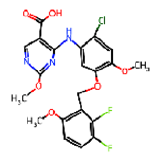 COc1ncc(C(=O)O)c(Nc2cc(OCc3c(OC)ccc(F)c3F)c(OC)cc2Cl)n1